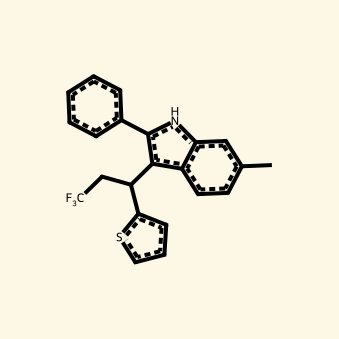 Cc1ccc2c(C(CC(F)(F)F)c3cccs3)c(-c3ccccc3)[nH]c2c1